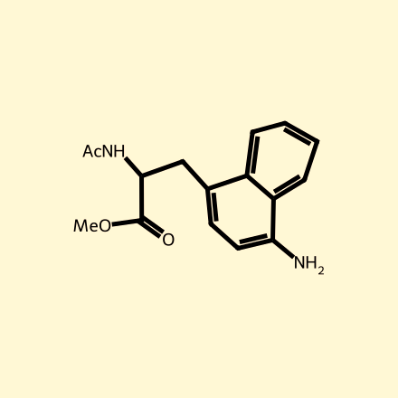 COC(=O)C(Cc1ccc(N)c2ccccc12)NC(C)=O